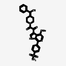 COc1cnc(-c2ccc(S(N)(=O)=O)cc2)c2[nH]cc(C(=O)C(=O)N3CCC(=C(C#N)c4ccccc4)CC3)c12